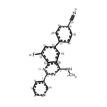 CNc1nc(-c2cccnc2)nc2c(F)cc(-c3ccc(C#N)cc3)cc12